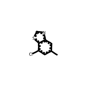 Cc1cc(Cl)c2s[c]nc2c1